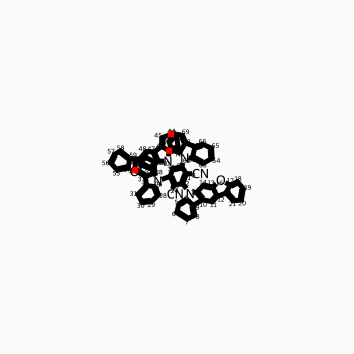 N#Cc1c(-n2c3ccccc3c3cc4c(cc32)oc2ccccc24)c(C#N)c(-n2c3ccccc3c3ccccc32)c(-n2c3ccccc3c3cc4c(cc32)oc2ccccc24)c1-n1c2ccccc2c2ccccc21